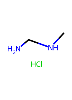 CNCN.Cl